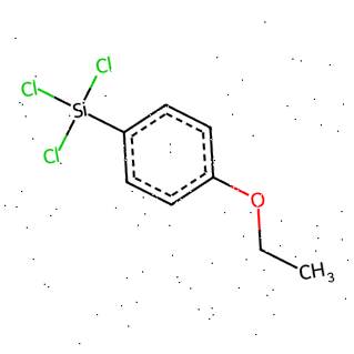 CCOc1ccc([Si](Cl)(Cl)Cl)cc1